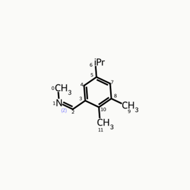 C/N=C\c1cc(C(C)C)cc(C)c1C